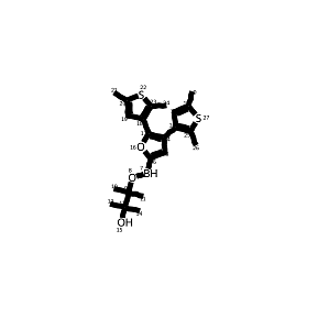 Cc1cc(-c2cc(BOC(C)(C)C(C)(C)O)oc2-c2cc(C)sc2C)c(C)s1